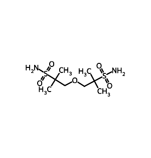 CC(C)(COCC(C)(C)S(N)(=O)=O)S(N)(=O)=O